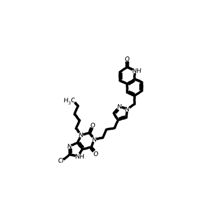 CCCCCn1c(=O)n(CCCc2cnn(Cc3ccc4[nH]c(=O)ccc4c3)c2)c(=O)c2[nH]c(Cl)nc21